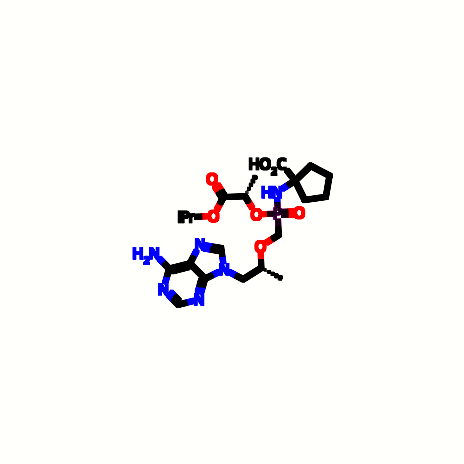 CC(C)OC(=O)[C@H](C)OP(=O)(CO[C@H](C)Cn1cnc2c(N)ncnc21)NC1(C(=O)O)CCCC1